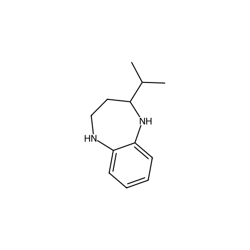 CC(C)C1CCNc2ccccc2N1